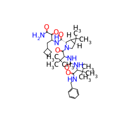 CC(C)(C)[C@H](NC(=O)N[C@H](C(=O)N1C[C@H]2[C@@H]([C@H]1C(=O)NC(CC1CCC1)C(=O)C(N)=O)C2(C)C)C(C)(C)C)C(=O)NCc1ccccc1